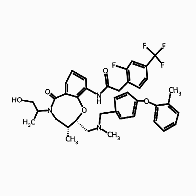 Cc1ccccc1Oc1ccc(CN(C)C[C@H]2Oc3c(NC(=O)Cc4ccc(C(F)(F)F)cc4F)cccc3C(=O)N(C(C)CO)C[C@H]2C)cc1